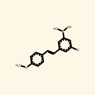 COc1ccc(/C=C/c2cc(Cl)cc(B(O)O)c2)cc1